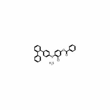 O=C(Oc1ccc(Sc2ccc(-c3ccccc3-c3ccccc3)cc2)c(Cl)c1)c1ccccc1.S